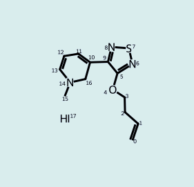 C=CCCOc1nsnc1C1=CC=CN(C)C1.I